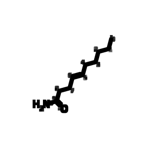 [CH2]CCCCC=CCCC(N)=O